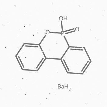 O=P1(O)Oc2ccccc2-c2ccccc21.[BaH2]